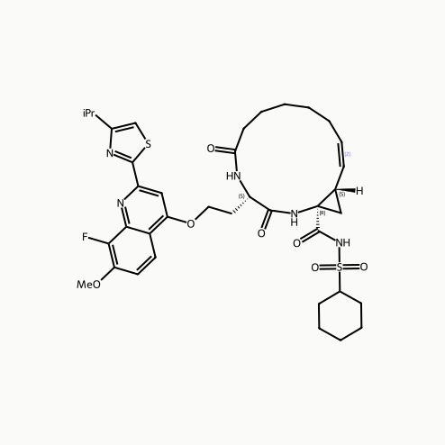 COc1ccc2c(OCC[C@@H]3NC(=O)CCCCC/C=C\[C@@H]4C[C@@]4(C(=O)NS(=O)(=O)C4CCCCC4)NC3=O)cc(-c3nc(C(C)C)cs3)nc2c1F